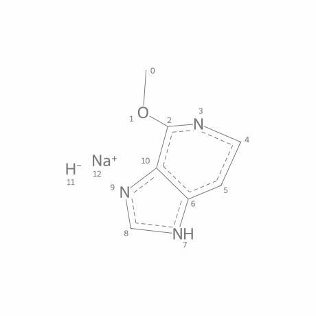 COc1nccc2[nH]cnc12.[H-].[Na+]